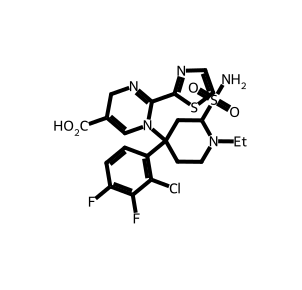 CCN1CCC(c2ccc(F)c(F)c2Cl)(N2C=C(C(=O)O)CN=C2c2nccs2)CC1S(N)(=O)=O